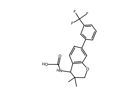 CC1(C)COc2cc(-c3cccc(C(F)(F)F)c3)ccc2C1NC(=O)O